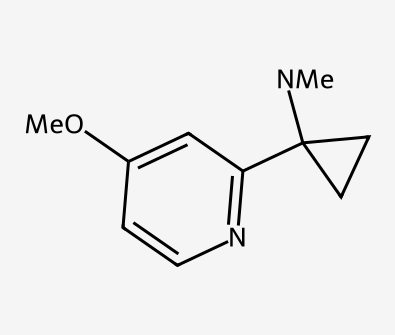 CNC1(c2cc(OC)ccn2)CC1